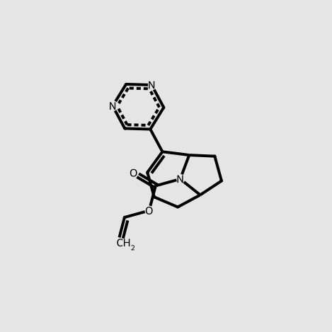 C=COC(=O)N1C2CCC=C(c3cncnc3)C1CC2